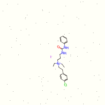 CC[N+](CC)(CCCNC(=O)Nc1ccccc1)CCc1ccc(Cl)cc1.[I-]